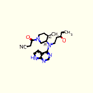 C=CC(=O)CCN(c1ncnc2[nH]ccc12)[C@H]1CN(C(=O)CC#N)CC[C@H]1C